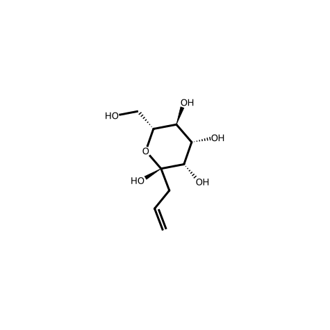 C=CC[C@]1(O)O[C@H](CO)[C@@H](O)[C@H](O)[C@@H]1O